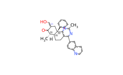 Cc1nc(-c2ccc3ncccc3c2)c2c(n1)[C@@]1(c3ccccc3)C/C(=C/O)C(=O)[C@@H](C)[C@@H]1CC2